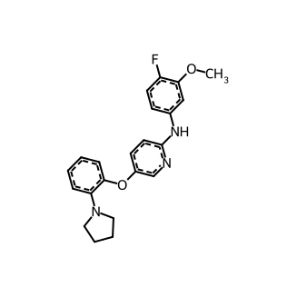 COc1cc(Nc2ccc(Oc3ccccc3N3CCCC3)cn2)ccc1F